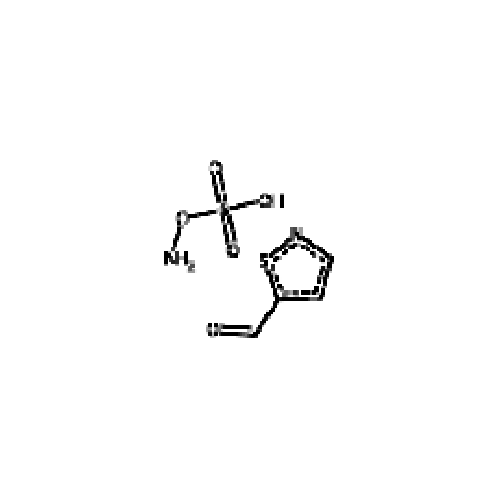 NOS(=O)(=O)O.O=Cc1ccns1